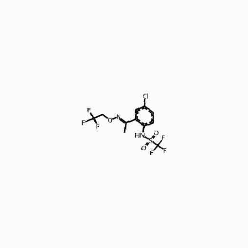 C/C(=N\OCC(F)(F)F)c1cc(Cl)ccc1NS(=O)(=O)C(F)(F)F